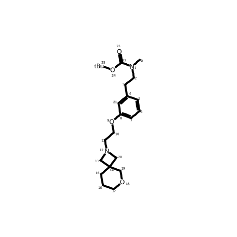 CN(CCc1cccc(OCCN2CC3(CCCOC3)C2)c1)C(=O)OC(C)(C)C